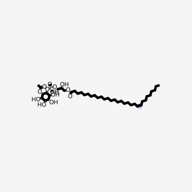 CCCCCCCC/C=C\CCCCCCCCCCCCCCCCCCCC(=O)OC[C@H](O)COP(=O)(O)O[C@H]1C(O)C(O)[C@H](O)C(O)C1OC(C)=O